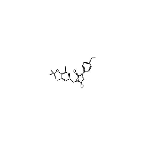 CCc1ccc(N2CC(=O)N(Cc3cc(C)c(OC(C)(C)C)c(C)c3)C2=O)cc1